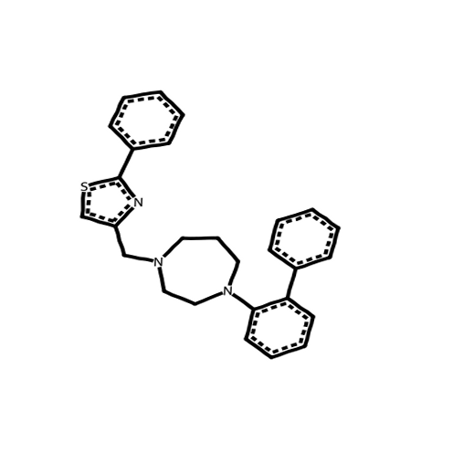 c1ccc(-c2nc(CN3CCCN(c4ccccc4-c4ccccc4)CC3)cs2)cc1